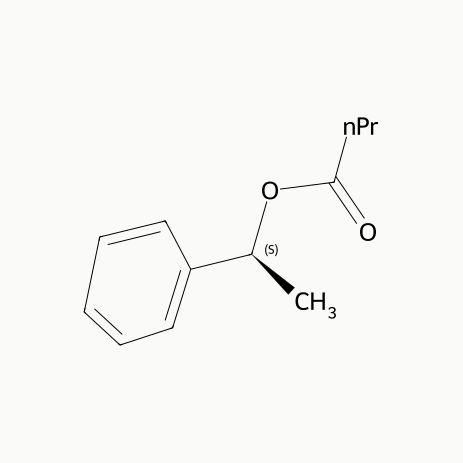 CCCC(=O)O[C@@H](C)c1ccccc1